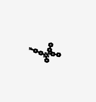 N#Cc1ccc(-c2ccc(-c3nc(-c4ccccc4)nc(-n4c5ccc(-c6ccccc6)cc5c5cc(-c6ccccc6)ccc54)n3)cc2)cc1